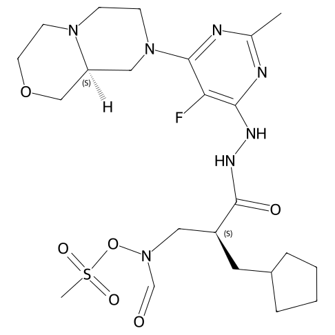 Cc1nc(NNC(=O)[C@@H](CC2CCCC2)CN(C=O)OS(C)(=O)=O)c(F)c(N2CCN3CCOC[C@@H]3C2)n1